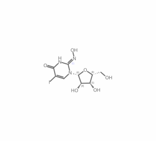 O=c1[nH]/c(=N\O)n([C@@H]2O[C@H](CO)[C@@H](O)[C@H]2O)cc1I